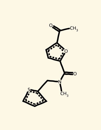 CC(=O)c1ccc(C(=O)N(C)Cc2cccs2)o1